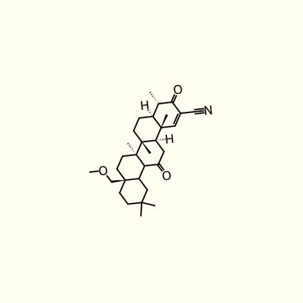 COC[C@]12CCC(C)(C)CC1C1C(=O)C[C@@H]3[C@@]4(C)C=C(C#N)C(=O)[C@@H](C)[C@@H]4CC[C@@]3(C)[C@]1(C)CC2